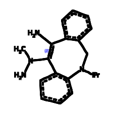 CC(C)N1Cc2ccccc2/C(N)=C(/N(C)N)c2ccccc21